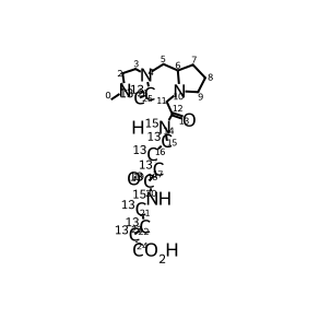 CN1CCN(CC2CCCN2CC(=O)[15NH][13CH2][13CH2][13CH2][13C](=O)[15NH][13CH2][13CH2][13CH2]C(=O)O)[13CH2][13CH2]1